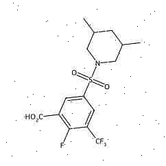 CC1CC(C)CN(S(=O)(=O)c2cc(C(=O)O)c(F)c(C(F)(F)F)c2)C1